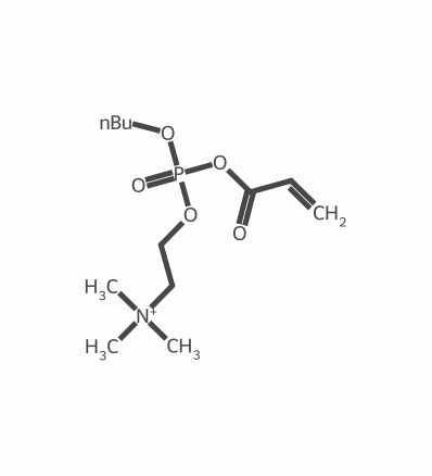 C=CC(=O)OP(=O)(OCCCC)OCC[N+](C)(C)C